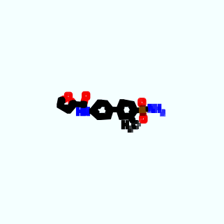 [CH2]c1cc(-c2ccc(NC(=O)c3ccco3)cc2)ccc1S(N)(=O)=O